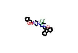 O=C(Cc1ccccc1O)N1CCN(CCCCC2(C(=O)NCC(F)(F)F)c3ccccc3-c3ccccc32)CC1